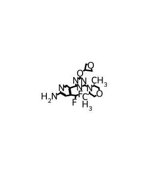 C[C@@H]1COC[C@H](C)N1c1nc(OC2COC2)nc(-c2cnc(N)cc2C(F)F)n1